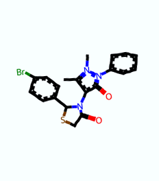 Cc1c(N2C(=O)CSC2c2ccc(Br)cc2)c(=O)n(-c2ccccc2)n1C